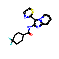 O=C(Nc1nc2ccccn2c1-c1nccs1)C1CCC(F)(F)CC1